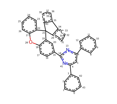 c1ccc(-c2cc(-c3ccccc3)nc(-c3ccc4c(c3)C3(c5ccccc5O4)c4ccccc4-c4ccccc43)n2)cc1